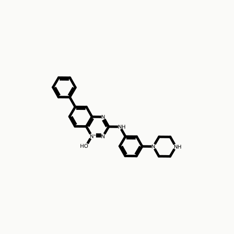 O[n+]1nc(Nc2cccc(N3CCNCC3)c2)nc2cc(-c3ccccc3)ccc21